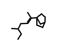 CCC(C)CC=C(C)C12CCC(CC1)C2